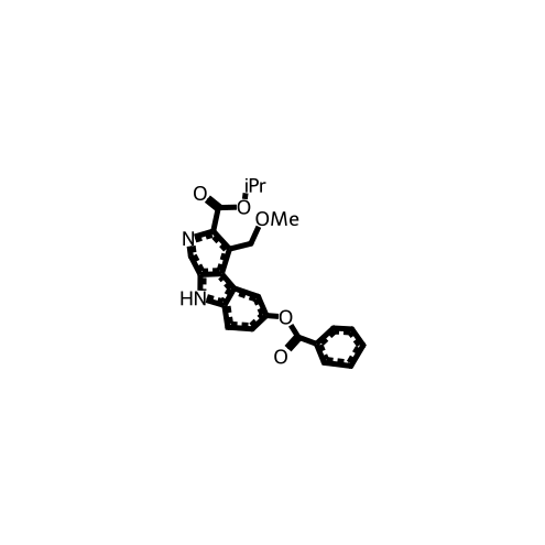 COCc1c(C(=O)OC(C)C)ncc2[nH]c3ccc(OC(=O)c4ccccc4)cc3c12